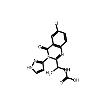 CC(NC(=O)O)c1nc2ccc(Cl)cc2c(=O)n1-c1cc[nH]n1